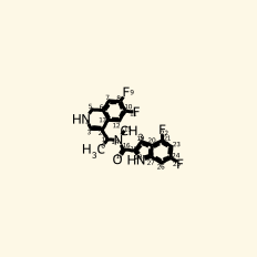 CC(C1=CNCc2cc(F)c(F)cc21)N(C)C(=O)c1cc2c(F)cc(F)cc2[nH]1